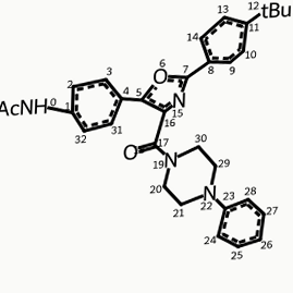 CC(=O)Nc1ccc(-c2oc(-c3ccc(C(C)(C)C)cc3)nc2C(=O)N2CCN(c3ccccc3)CC2)cc1